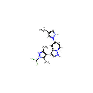 Cc1nn(C(F)F)c(C)c1-c1cnn2ccc(-n3cc(C(=O)O)cn3)cc12